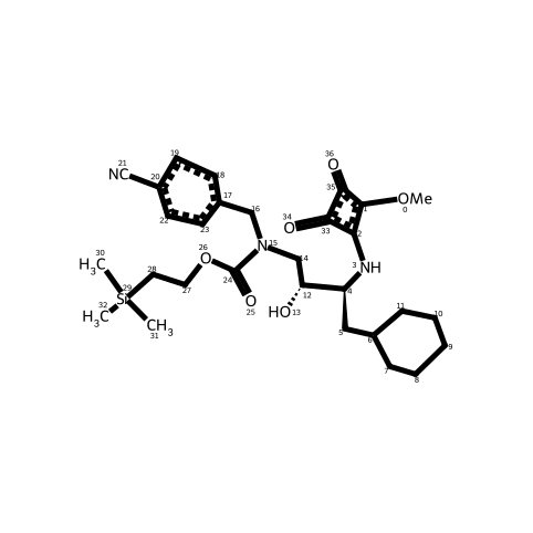 COc1c(N[C@@H](CC2CCCCC2)[C@H](O)CN(Cc2ccc(C#N)cc2)C(=O)OCC[Si](C)(C)C)c(=O)c1=O